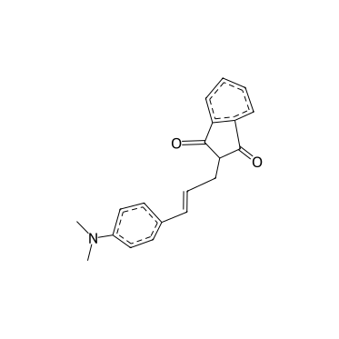 CN(C)c1ccc(/C=C/CC2C(=O)c3ccccc3C2=O)cc1